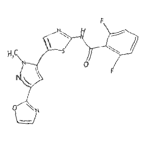 Cn1nc(-c2ncco2)cc1-c1cnc(NC(=O)c2c(F)cccc2F)s1